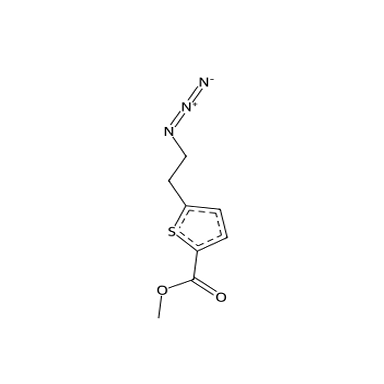 COC(=O)c1ccc(CCN=[N+]=[N-])s1